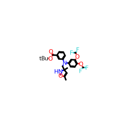 CC1=CC(C)(CN(c2cccc(C(=O)OC(C)(C)C)c2)c2ccc(OC(F)F)c(OC(F)F)c2)NO1